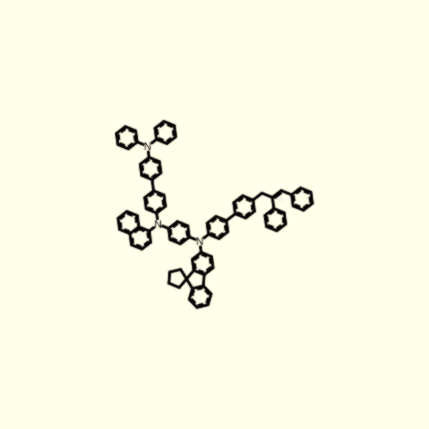 C(=C(\Cc1ccc(-c2ccc(N(c3ccc(N(c4ccc(-c5ccc(N(c6ccccc6)c6ccccc6)cc5)cc4)c4cccc5ccccc45)cc3)c3ccc4c(c3)C3(CCCC3)c3ccccc3-4)cc2)cc1)c1ccccc1)/c1ccccc1